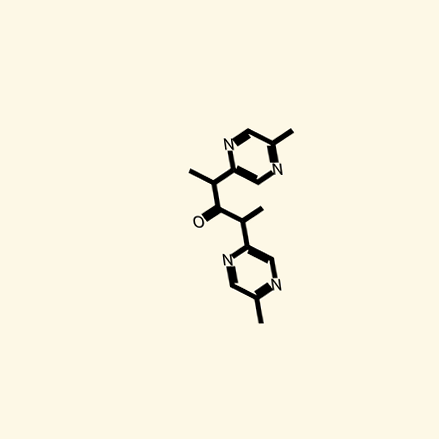 Cc1cnc(C(C)C(=O)C(C)c2cnc(C)cn2)cn1